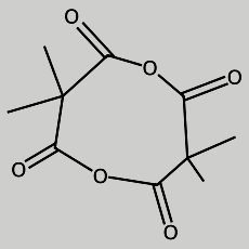 CC1(C)C(=O)OC(=O)C(C)(C)C(=O)OC1=O